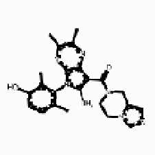 Cc1ccc(O)c(C)c1-n1c(N)c(C(=O)N2CCn3cncc3C2)c2nc(C)c(C)nc21